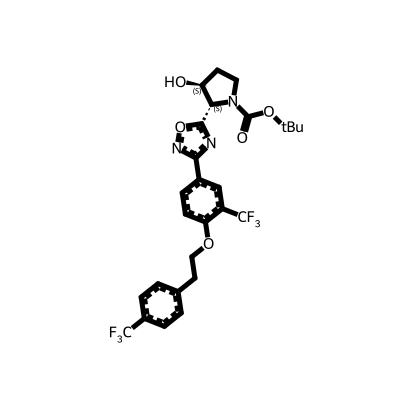 CC(C)(C)OC(=O)N1CC[C@H](O)[C@H]1c1nc(-c2ccc(OCCc3ccc(C(F)(F)F)cc3)c(C(F)(F)F)c2)no1